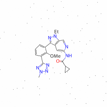 CCn1nc(-c2cccc(-c3nnn(C)n3)c2OC)c2cc(NC(=O)C3CC3)ncc21